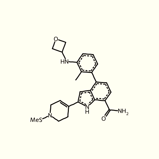 CSN1CC=C(c2cc3c(-c4cccc(NC5COC5)c4C)ccc(C(N)=O)c3[nH]2)CC1